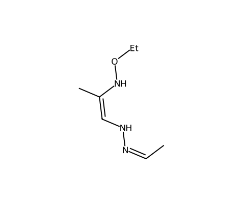 C/C=N\N/C=C(/C)NOCC